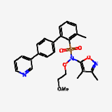 COCCON(c1onc(C)c1C)S(=O)(=O)c1c(C)cccc1-c1ccc(-c2cccnc2)cc1